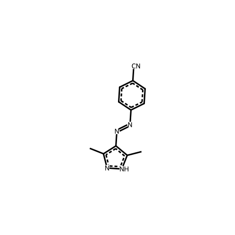 Cc1n[nH]c(C)c1/N=N/c1ccc(C#N)cc1